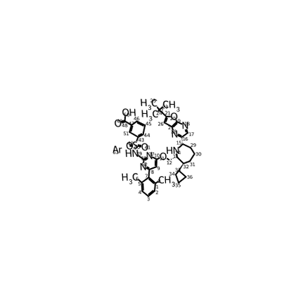 Cc1cccc(C)c1-c1cc(OC[C@@H]2N[C@H](c3cnc4oc(C(C)(C)C)cc4n3)CCC[C@H]2C2CCC2)nc(NS(=O)(=O)c2cccc(C(=O)O)c2)n1.[Ar]